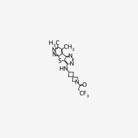 Cc1nnc2sc3c(NC4CC5(C4)CN(C(=O)CC(F)(F)F)C5)ncnc3c2c1C